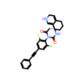 O=C1C[C@]2(CCCC3=CCNC=C32)NC(=O)N1c1c(F)cc(C#Cc2ccccc2)cc1F